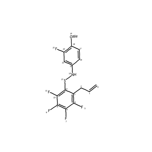 C=CCc1c(F)c(F)c(F)c(F)c1SNc1ccc(OC)c(F)c1